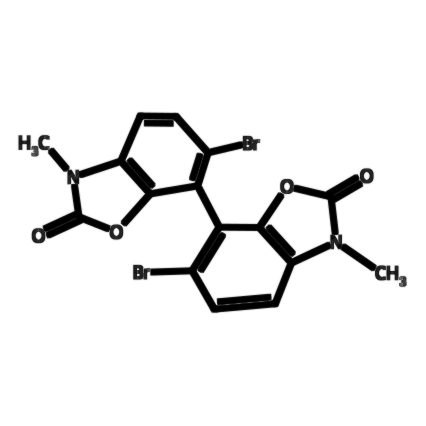 Cn1c(=O)oc2c(-c3c(Br)ccc4c3oc(=O)n4C)c(Br)ccc21